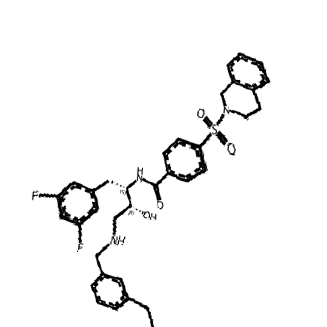 CCc1cccc(CNC[C@@H](O)[C@H](Cc2cc(F)cc(F)c2)NC(=O)c2ccc(S(=O)(=O)N3CCc4ccccc4C3)cc2)c1